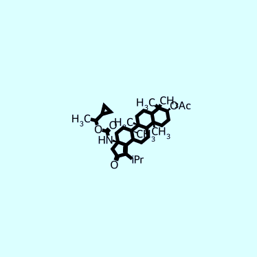 CC(=O)O[C@H]1CC[C@@]2(C)C(CC[C@]3(C)C2CCC2C4=C(C(C)C)C(=O)C[C@]4(NC(=O)OC(C)C4CC4)CC[C@]23C)C1(C)C